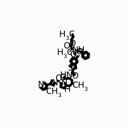 CCCOC(=O)[C@H](C)NP(=O)(Cc1ccc2sc(C(=O)N[C@H]3C[C@H](C)C[C@H]4CC[C@@H](C(=O)N5CC(c6cnccc6C)C5)N4C3=O)cc2c1)Oc1ccccc1